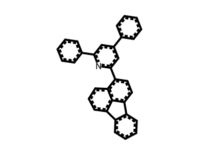 c1ccc(-c2cc(-c3ccccc3)nc(-c3ccc4c5c(cccc35)-c3ccccc3-4)c2)cc1